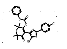 CCc1sc(-c2ccc(Cl)cc2)nc1C1=C(OC(=O)Oc2ccccc2)C(C)(C)OC(C)(C)C1=O